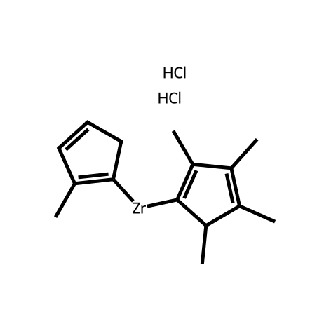 CC1=[C]([Zr][C]2=C(C)C(C)=C(C)C2C)CC=C1.Cl.Cl